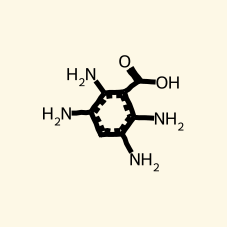 Nc1cc(N)c(N)c(C(=O)O)c1N